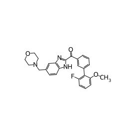 COc1cccc(F)c1-c1cccc(C(=O)c2nc3cc(CN4CCOCC4)ccc3[nH]2)c1